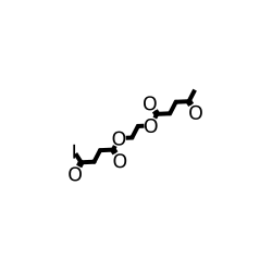 CC(=O)CCC(=O)OCCOC(=O)CCC(=O)I